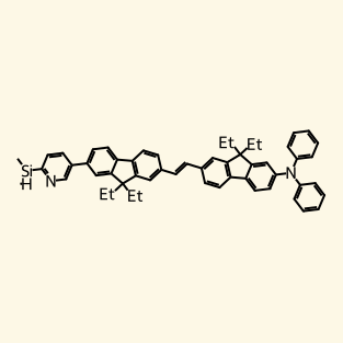 CCC1(CC)c2cc(/C=C/c3ccc4c(c3)C(CC)(CC)c3cc(N(c5ccccc5)c5ccccc5)ccc3-4)ccc2-c2ccc(-c3ccc([SiH](C)C)nc3)cc21